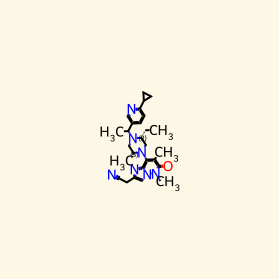 CC[C@@H]1CN(c2c(C)c(=O)n(C)n3cc(CC#N)nc23)[C@@H](C)CN1C(C)c1ccc(C2CC2)nc1